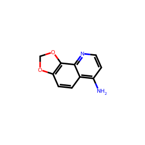 Nc1ccnc2c3c(ccc12)OCO3